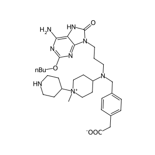 CCCCOc1nc(N)c2[nH]c(=O)n(CCCN(Cc3ccc(CC(=O)[O-])cc3)C3CC[N+](C)(C4CCNCC4)CC3)c2n1